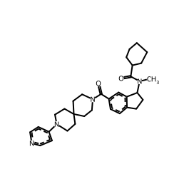 CN(C(=O)C1CCCCC1)C1CCc2ccc(C(=O)N3CCC4(CC3)CCN(c3ccncc3)CC4)cc21